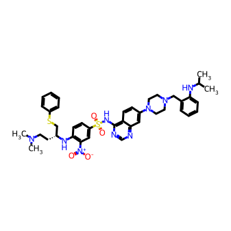 CC(C)Nc1ccccc1CN1CCN(c2ccc3c(NS(=O)(=O)c4ccc(N[C@H](CCN(C)C)CSc5ccccc5)c([N+](=O)[O-])c4)ncnc3c2)CC1